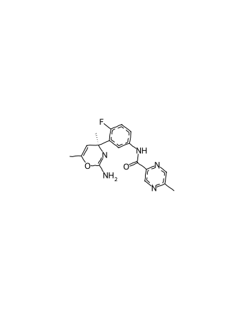 CC1=C[C@@](C)(c2cc(NC(=O)c3cnc(C)cn3)ccc2F)N=C(N)O1